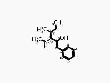 CC[C@H](C)[C@H](NC)C(O)Cc1ccccc1